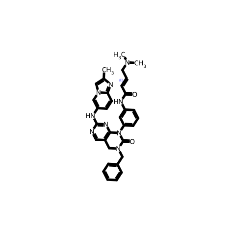 Cc1cn2cc(Nc3ncc4c(n3)N(c3cccc(NC(=O)/C=C/CN(C)C)c3)C(=O)N(Cc3ccccc3)C4)ccc2n1